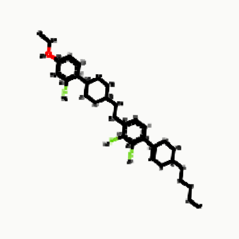 CCCCCC1CC=C(c2ccc(CCC3CCC(c4ccc(OCC)cc4F)CC3)c(F)c2F)CC1